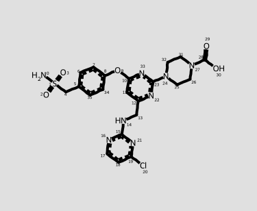 NS(=O)(=O)Cc1ccc(Oc2cc(CNc3nccc(Cl)n3)nc(N3CCN(C(=O)O)CC3)n2)cc1